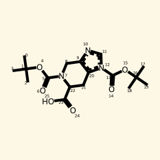 CC(C)(C)OC(=O)N1Cc2ncn(C(=O)OC(C)(C)C)c2CC1C(=O)O